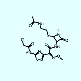 CO/N=C(\C(=O)NC1C(=O)NC1SCCNC(C)=O)c1csc(NC(=O)CCl)n1